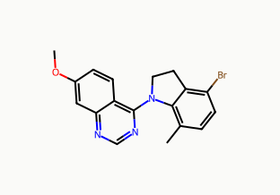 COc1ccc2c(N3CCc4c(Br)ccc(C)c43)ncnc2c1